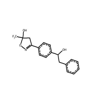 OC(Cc1ccccc1)c1ccc(C2=NOC(O)(C(F)(F)F)C2)cc1